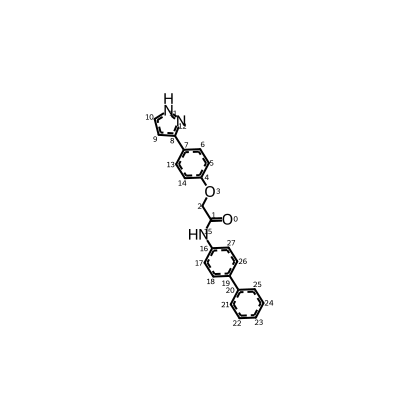 O=C(COc1ccc(-c2cc[nH]n2)cc1)Nc1ccc(-c2ccccc2)cc1